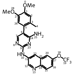 COc1cc(C)c(-c2cnc(Nc3cnc4ccc(OC(F)(F)F)cc4c3)nc2N)cc1OC